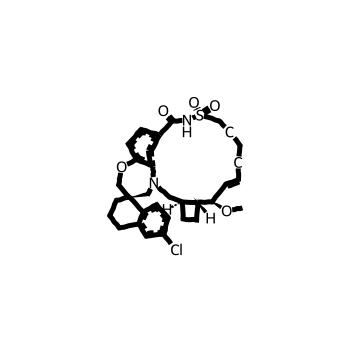 CO[C@@H]1/C=C/CCCCS(=O)(=O)NC(=O)c2ccc3c(c2)N(C[C@@H]2CC[C@H]21)C[C@@]1(CCCc2cc(Cl)ccc21)CO3